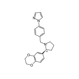 c1cnn(-c2ccc(CN3CCC[C@H]3c3ccc4c(c3)OCCO4)cc2)c1